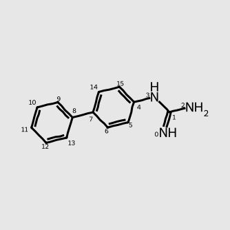 N=C(N)Nc1ccc(-c2ccccc2)cc1